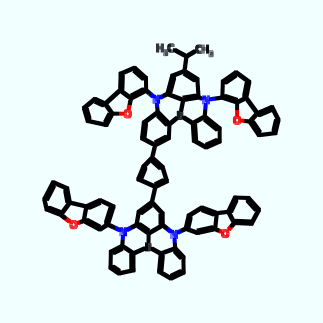 CC(C)c1cc2c3c(c1)N(c1cccc4c1oc1ccccc14)c1ccc(-c4ccc(-c5cc6c7c(c5)N(c5ccc8c(c5)oc5ccccc58)c5ccccc5B7c5ccccc5N6c5ccc6c(c5)oc5ccccc56)cc4)cc1B3c1ccccc1N2c1cccc2c1oc1ccccc12